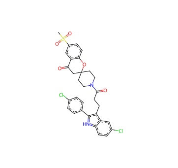 CS(=O)(=O)c1ccc2c(c1)C(=O)CC1(CCN(C(=O)CCc3c(-c4ccc(Cl)cc4)[nH]c4ccc(Cl)cc34)CC1)O2